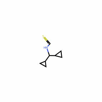 S=CNC(C1CC1)C1CC1